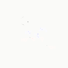 CC(C)(O)CO/N=C(\N)C(Cc1ccc(Cl)cc1)NC(=O)O